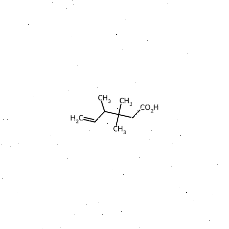 C=CC(C)C(C)(C)CC(=O)O